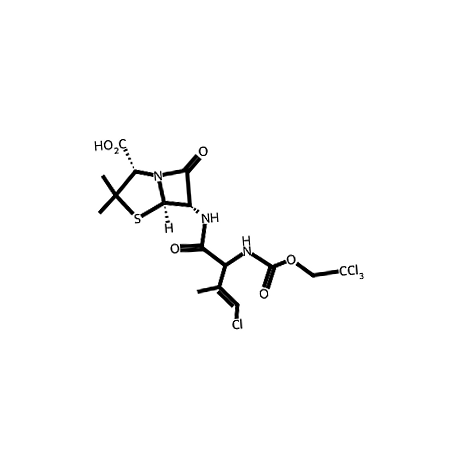 C/C(=C\Cl)C(NC(=O)OCC(Cl)(Cl)Cl)C(=O)N[C@H]1C(=O)N2[C@@H]1SC(C)(C)[C@@H]2C(=O)O